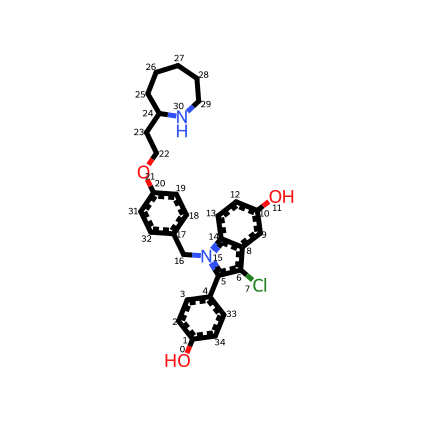 Oc1ccc(-c2c(Cl)c3cc(O)ccc3n2Cc2ccc(OCCC3CCCCCN3)cc2)cc1